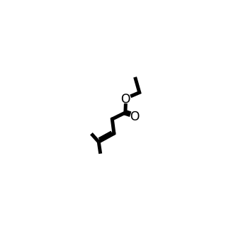 CCOC(=O)CC=C(C)C